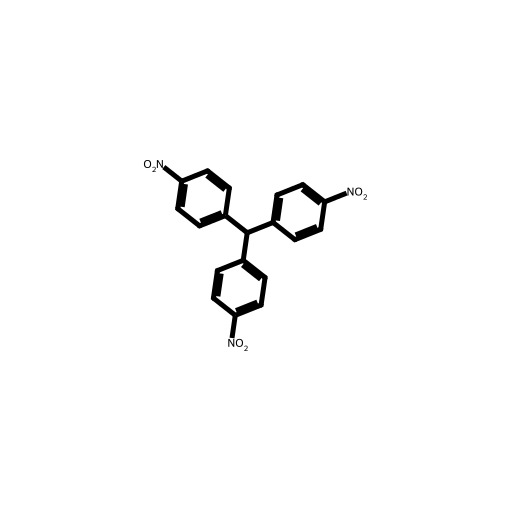 O=[N+]([O-])c1ccc([C](c2ccc([N+](=O)[O-])cc2)c2ccc([N+](=O)[O-])cc2)cc1